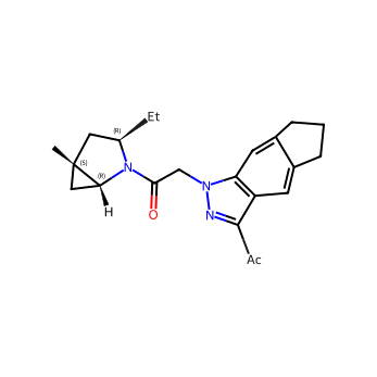 CC[C@@H]1C[C@@]2(C)C[C@H]2N1C(=O)Cn1nc(C(C)=O)c2cc3c(cc21)CCC3